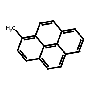 Cc1ccc2ccc3[c]ccc4ccc1c2c34